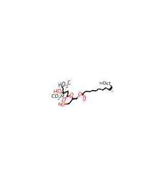 CCCCCCCC/C=C\CCCCCCCC(=O)OCC(CO)OC(=O)CC(O)(CC(=O)O)C(=O)O